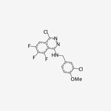 COc1ccc(CNc2nnc(Cl)c3cc(F)c(F)c(F)c23)cc1Cl